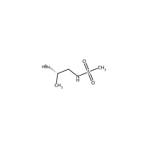 CCCC[C@@H](C)CNS(C)(=O)=O